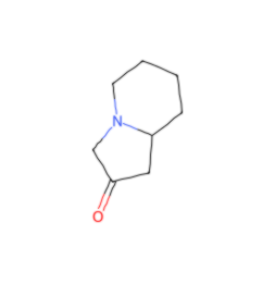 O=C1CC2CCCCN2C1